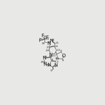 Cc1nc([C@@H]2CCOC2)c2c(N3CCc4cnn(CC(F)(F)F)c4C3)ncnn12